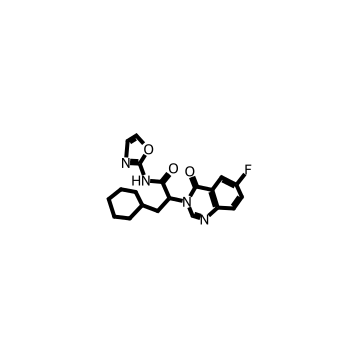 O=C(Nc1ncco1)C(CC1CCCCC1)n1cnc2ccc(F)cc2c1=O